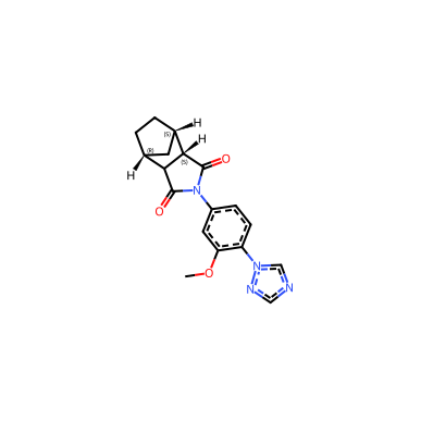 COc1cc(N2C(=O)C3[C@@H]4CC[C@@H](C4)[C@@H]3C2=O)ccc1-n1cncn1